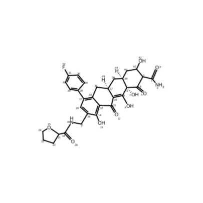 NC(=O)C1C(=O)[C@@]2(O)C(O)=C3C(=O)c4c(O)c(CNC(=O)C5CCCO5)cc(-c5ccc(F)cc5)c4C[C@H]3C[C@H]2CC1O